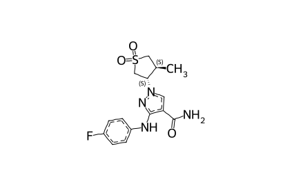 C[C@@H]1CS(=O)(=O)C[C@H]1n1cc(C(N)=O)c(Nc2ccc(F)cc2)n1